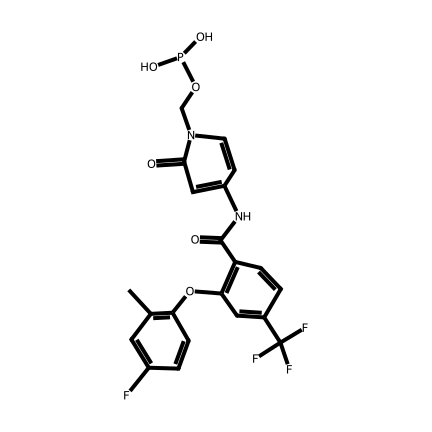 Cc1cc(F)ccc1Oc1cc(C(F)(F)F)ccc1C(=O)Nc1ccn(COP(O)O)c(=O)c1